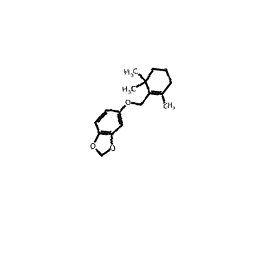 CC1=C(COc2ccc3c(c2)OCO3)C(C)(C)CCC1